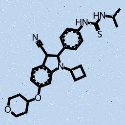 CC(C)NC(=S)Nc1ccc(C2C(C#N)c3ccc(OC4CCOCC4)cc3N2C2CCC2)cc1